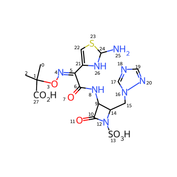 CC(C)(O/N=C(\C(=O)NC1C(=O)N(S(=O)(=O)O)C1Cn1cncn1)C1=CSC(N)N1)C(=O)O